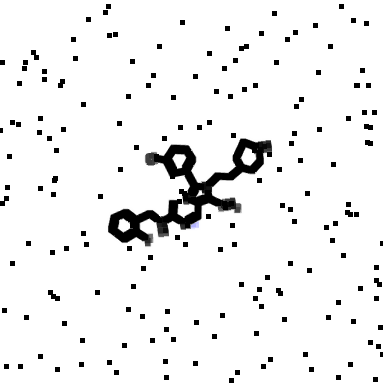 C=C(/N=C\c1nc(-c2cccc(Cl)c2)n(CCC2CCNCC2)c1N)NCc1ccccc1F